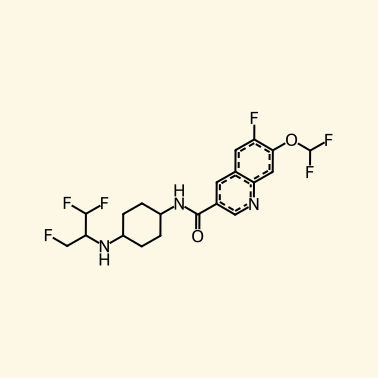 O=C(NC1CCC(NC(CF)C(F)F)CC1)c1cnc2cc(OC(F)F)c(F)cc2c1